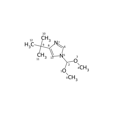 COC(OC)n1cnc(C(C)(C)C)c1